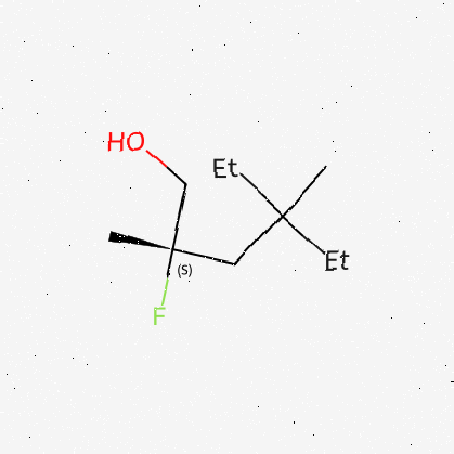 CCC(C)(CC)C[C@](C)(F)CO